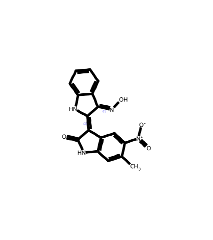 Cc1cc2c(cc1[N+](=O)[O-])/C(=C1/Nc3ccccc3/C1=N\O)C(=O)N2